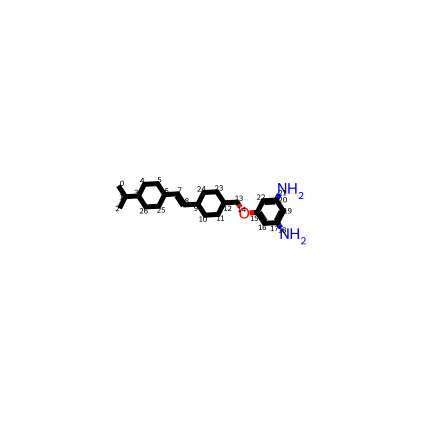 CC(C)C1CCC(/C=C/C2CCC(COc3cc(N)cc(N)c3)CC2)CC1